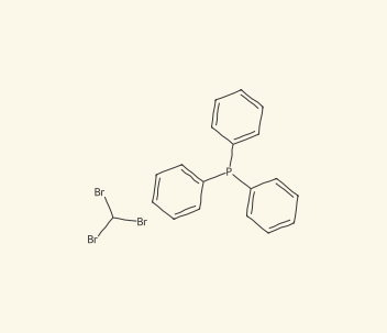 BrC(Br)Br.c1ccc(P(c2ccccc2)c2ccccc2)cc1